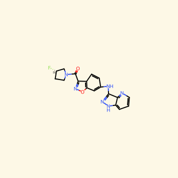 O=C(c1noc2cc(Nc3n[nH]c4cccnc34)ccc12)N1CC[C@H](F)C1